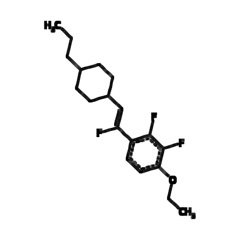 CCCC1CCC(C=C(F)c2ccc(OCC)c(F)c2F)CC1